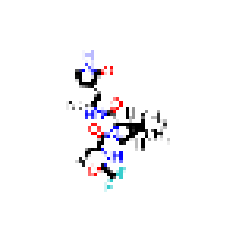 CC(C)C[C@H](NC(=O)C(F)F)C(=O)N1C[C@H]2[C@@H]([C@H]1C(=O)N[C@H](C#N)C[C@@H]1CCNC1=O)C2(C)C